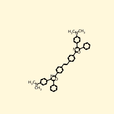 CN(C)c1ccc(-c2nc(-c3ccc(/C=C/c4ccc(-c5nc(-c6ccc(N(C)C)cc6)c(-c6ccccc6)o5)cc4)cc3)oc2-c2ccccc2)cc1